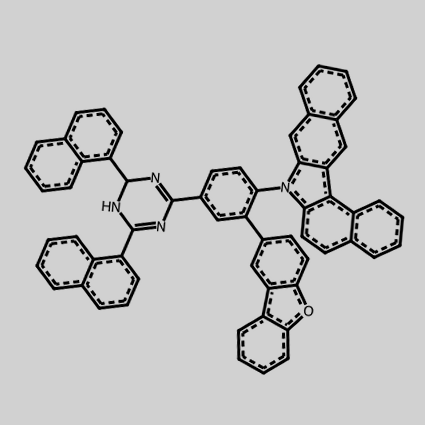 c1ccc2cc3c(cc2c1)c1c2ccccc2ccc1n3-c1ccc(C2=NC(c3cccc4ccccc34)NC(c3cccc4ccccc34)=N2)cc1-c1ccc2oc3ccccc3c2c1